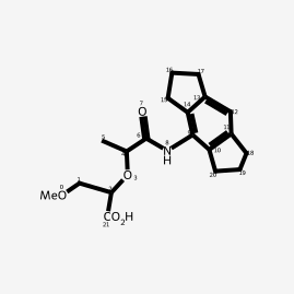 COCC(OC(C)C(=O)Nc1c2c(cc3c1CCC3)CCC2)C(=O)O